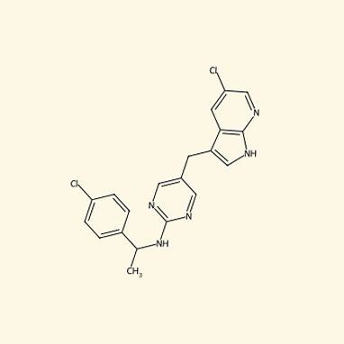 CC(Nc1ncc(Cc2c[nH]c3ncc(Cl)cc23)cn1)c1ccc(Cl)cc1